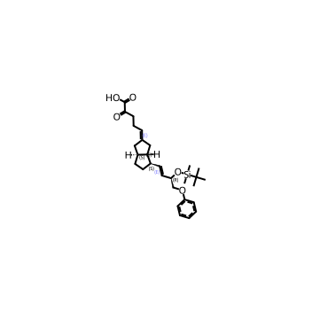 CC(C)(C)[Si](C)(C)O[C@H](/C=C/[C@H]1CC[C@H]2C/C(=C\CCC(=O)C(=O)O)C[C@@H]21)COc1ccccc1